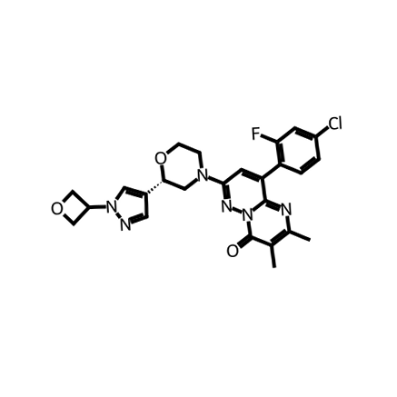 Cc1nc2c(-c3ccc(Cl)cc3F)cc(N3CCO[C@@H](c4cnn(C5COC5)c4)C3)nn2c(=O)c1C